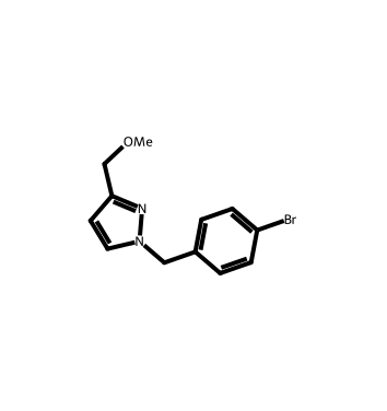 COCc1ccn(Cc2ccc(Br)cc2)n1